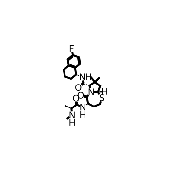 CN[C@@H](C)C(=O)N[C@H]1CCS[C@H]2CC(C)(C)[C@@H](C(=O)N[C@@H]3CCCc4cc(F)ccc43)N2C1=O